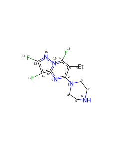 CCc1c(N2CCNCC2)nc2c(F)c(F)nn2c1F